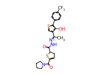 C/C(=N\NC(=O)C1CC=C(C(=O)N2CCCC2)S1)c1csc(-c2ccc(C(F)(F)F)cc2)c1O